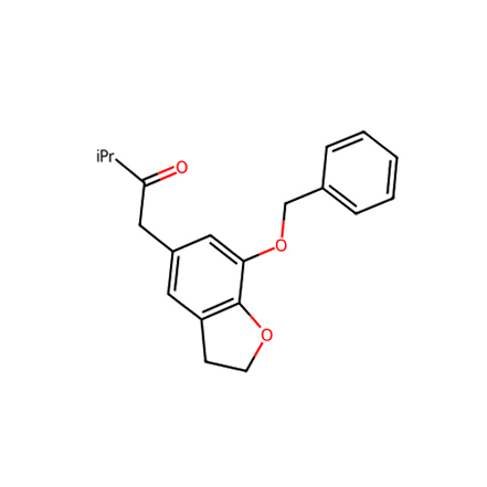 CC(C)C(=O)Cc1cc2c(c(OCc3ccccc3)c1)OCC2